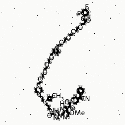 COc1cnc(-n2cnc(C(=O)NCCCN(CCCN3CCN(CCOCCOCCOCCOCc4cn(CCOCCOCCOCCOCCC(=O)Oc5c(F)cc(F)cc5F)nn4)CC3)C3CC(C)C3)n2)c2[nH]cc(C(=O)C(=O)N3CCC(=C(C#N)c4ccccc4)CC3)c12